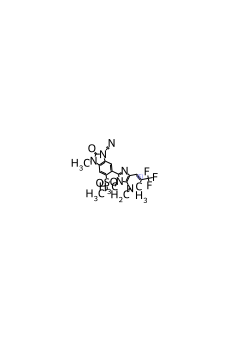 C=Nc1c(/C=C(\C)C(F)(F)F)nc(-c2cc3c(cc2S(=O)(=O)CC)n(C)c(=O)n3C#N)n1C